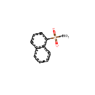 O=[N+]([O-])S(=O)(=O)c1cccc2ccccc12